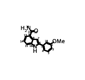 COc1cccc(-c2cc3c(C(N)=O)cccc3[nH]2)c1